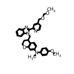 COCOCc1ccnc(-c2nc3ccccc3n2CC2CCOc3cc(N(C)c4ccc(OC)cc4)ccc32)c1